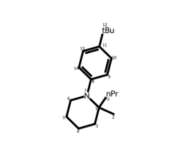 CCCC1(C)CCCCN1c1ccc(C(C)(C)C)cc1